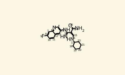 N=C(Nc1cnc2cc(F)ccc2c1)/C(=C\NC1CCCCC1)C(N)=O